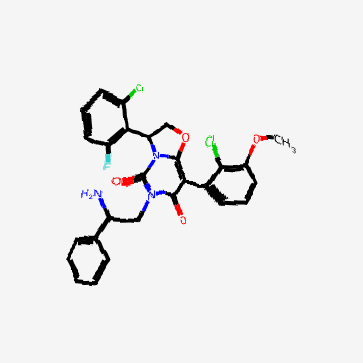 COc1cccc(-c2c3n(c(=O)n(CC(N)c4ccccc4)c2=O)C(c2c(F)cccc2Cl)CO3)c1Cl